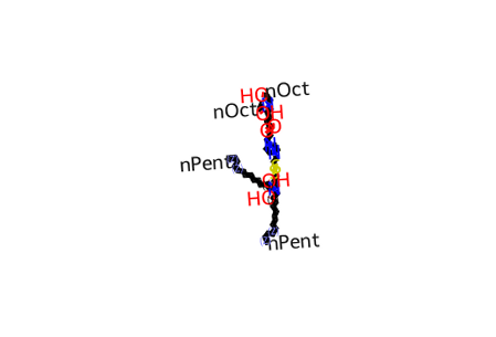 CCCCC/C=C\C/C=C\CCCCCC[C@H](O)CN(CCCSSCCN1CCN(CCOC(=O)CCCCN(CC(O)CCCCCCCC)CC(O)CCCCCCCC)CC1)C[C@@H](O)CCCCCC/C=C\C/C=C\CCCCC